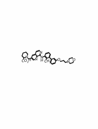 Cc1c(Nc2nccc3cc(CN4CCCCC4C(=O)O)cnc23)cccc1-c1cccc(OCCCN2CCOCC2)c1